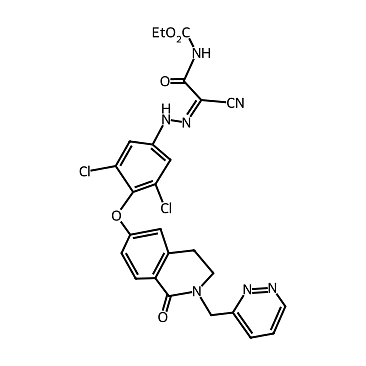 CCOC(=O)NC(=O)C(C#N)=NNc1cc(Cl)c(Oc2ccc3c(c2)CCN(Cc2cccnn2)C3=O)c(Cl)c1